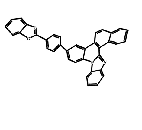 c1ccc2c(c1)ccc1c3cc(-c4ccc(-c5nc6ccccc6o5)cc4)ccc3n3c4ccccc4nc3c21